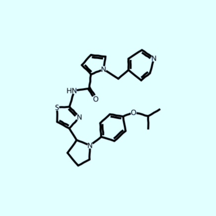 CC(C)Oc1ccc(N2CCCC2c2csc(NC(=O)c3cccn3Cc3ccncc3)n2)cc1